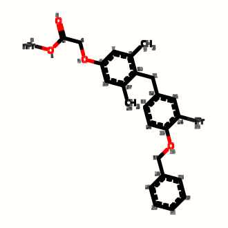 CCCOC(=O)COc1cc(C)c(Cc2ccc(OCc3ccccc3)c(C(C)C)c2)c(C)c1